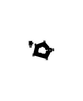 [K].c1ccoc1